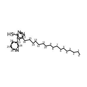 CCCCCCCCCCCCCCCCCc1nnc(S)n1-c1cccnc1